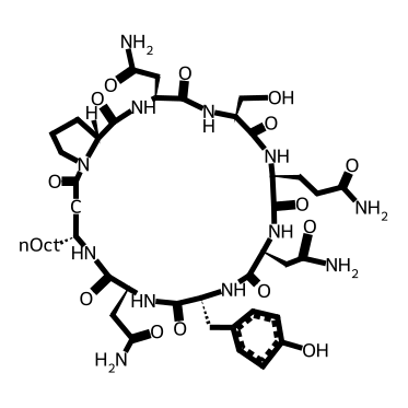 CCCCCCCC[C@@H]1CC(=O)N2CCC[C@@H]2C(=O)N[C@@H](CC(N)=O)C(=O)N[C@@H](CO)C(=O)N[C@@H](CCC(N)=O)C(=O)N[C@@H](CC(N)=O)C(=O)N[C@H](Cc2ccc(O)cc2)C(=O)N[C@@H](CC(N)=O)C(=O)N1